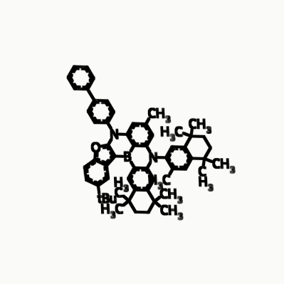 Cc1cc2c3c(c1)N(c1ccc(-c4ccccc4)cc1)c1oc4ccc(C(C)(C)C)cc4c1B3c1cc3c(cc1N2c1cc2c(cc1C)C(C)(C)CCC2(C)C)C(C)(C)CCC3(C)C